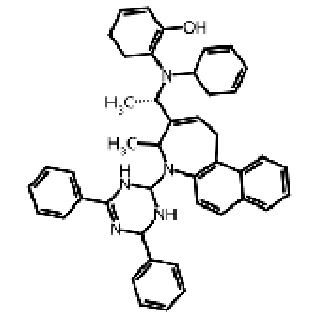 CC1C([C@H](C)N(C2=C(O)C=CCC2)C2C=CC=CC2)=CCc2c(ccc3ccccc23)N1C1NC(c2ccccc2)=NC(c2ccccc2)N1